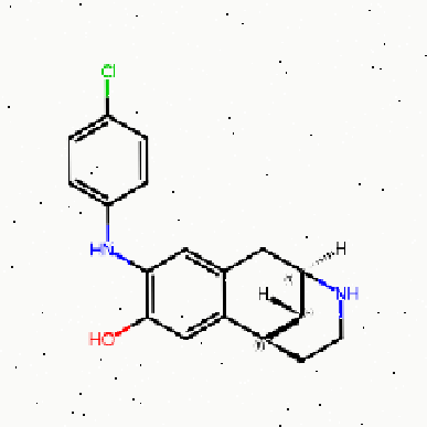 Oc1cc2c(cc1Nc1ccc(Cl)cc1)C[C@H]1NCC[C@@]23CCCC[C@@H]13